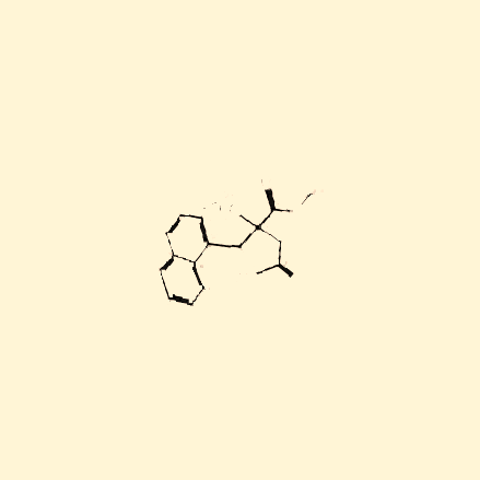 CCC(C)OC(=O)C(CC(=O)C(C)C)(Cc1cccc2ccccc12)C(=O)O